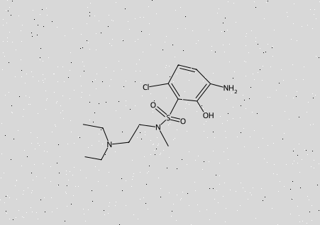 CCN(CC)CCN(C)S(=O)(=O)c1c(Cl)ccc(N)c1O